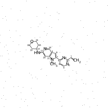 C=Cc1nccc(-c2cc3cnc(NC4CCOCC4)cc3n2C)n1